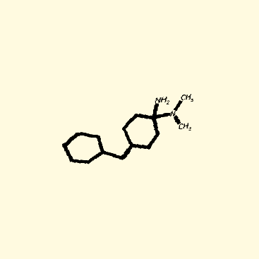 CN(C)C1(N)CCC(CC2CCCCC2)CC1